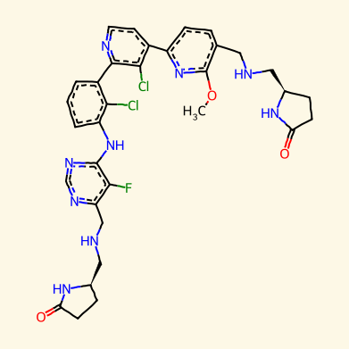 COc1nc(-c2ccnc(-c3cccc(Nc4ncnc(CNC[C@H]5CCC(=O)N5)c4F)c3Cl)c2Cl)ccc1CNC[C@H]1CCC(=O)N1